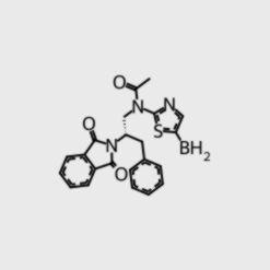 Bc1cnc(N(C[C@H](Cc2ccccc2)N2C(=O)c3ccccc3C2=O)C(C)=O)s1